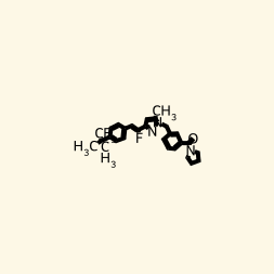 Cc1cc(C(F)=Cc2ccc(C(C)(C)C(F)(F)F)cc2)nn1Cc1cccc(C(=O)N2CCCC2)c1